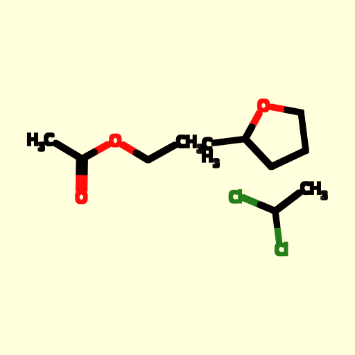 CC(Cl)Cl.CC1CCCO1.CCOC(C)=O